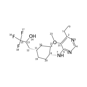 CCc1ncnc(N[C@H]2CC[C@@H](CC(O)C(F)(F)F)CC2)c1OC